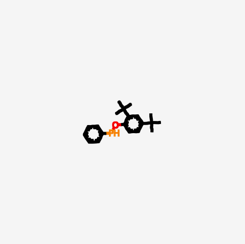 CC(C)(C)c1ccc(OPc2ccccc2)c(C(C)(C)C)c1